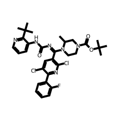 CC1CN(C(=O)OC(C)(C)C)CCN1C(=NC(=O)Nc1cccnc1C(C)(C)C)c1cc(Cl)c(-c2ccccc2F)nc1Cl